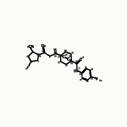 N#C[C@@H]1C[C@H](F)CN1C(=O)CNC12CCC(C(=O)Nc3ccc(F)cc3)(CC1)CC2